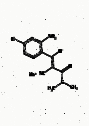 CN(C)C(=O)/C(C#N)=C(\[O-])c1ccc(Cl)cc1[N+](=O)[O-].[Na+]